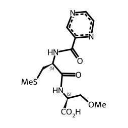 COC[C@H](NC(=O)[C@@H](CSC)NC(=O)c1cnccn1)C(=O)O